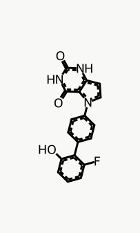 O=c1[nH]c(=O)c2c(ccn2-c2ccc(-c3c(O)cccc3F)cc2)[nH]1